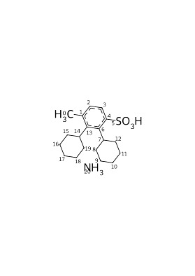 Cc1ccc(S(=O)(=O)O)c(C2CCCCC2)c1C1CCCCC1.N